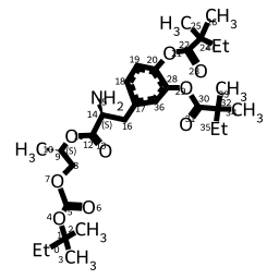 CCC(C)(C)OC(=O)OC[C@H](C)OC(=O)[C@@H](N)Cc1ccc(OC(=O)C(C)(C)CC)c(OC(=O)C(C)(C)CC)c1